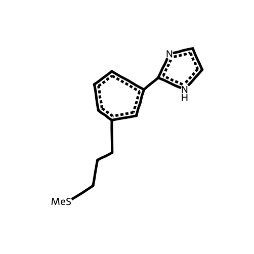 CSCCCc1cccc(-c2ncc[nH]2)c1